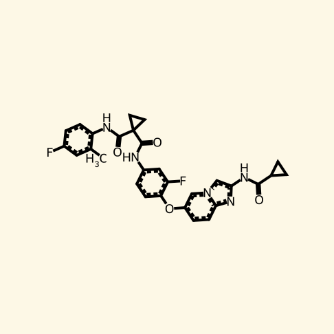 Cc1cc(F)ccc1NC(=O)C1(C(=O)Nc2ccc(Oc3ccc4nc(NC(=O)C5CC5)cn4c3)c(F)c2)CC1